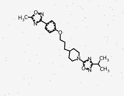 Cc1nc(-c2ccc(OCCCC3CCN(c4nc(C(C)C)no4)CC3)cc2)no1